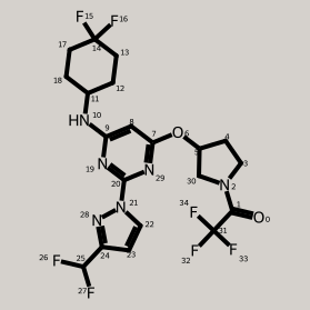 O=C(N1CCC(Oc2cc(NC3CCC(F)(F)CC3)nc(-n3ccc(C(F)F)n3)n2)C1)C(F)(F)F